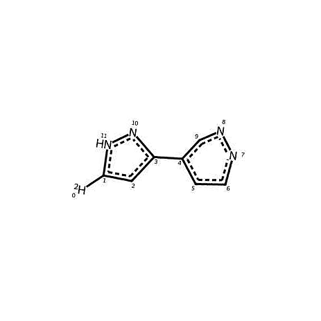 [2H]c1cc(-c2ccnnc2)n[nH]1